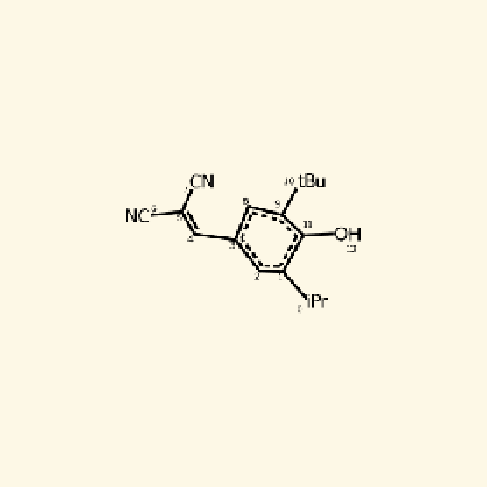 CC(C)c1cc(C=C(C#N)C#N)cc(C(C)(C)C)c1O